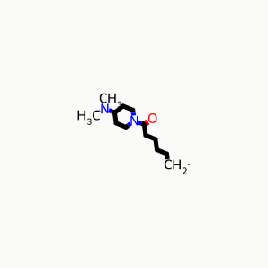 [CH2]CCCCC(=O)N1CCC(N(C)C)CC1